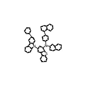 c1ccc(-c2ccc3c(c2)c2ccccc2n3-c2cc(N(c3ccc(-c4cccc5ccccc45)cc3)c3ccc4ccccc4c3)c3sc4ccccc4c3c2)cc1